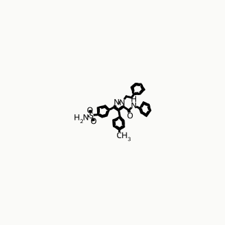 Cc1ccc(-c2c(-c3ccc(S(N)(=O)=O)cc3)nn(CCc3ccccc3)c2C(=O)Nc2ccccc2)cc1